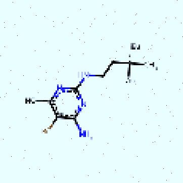 CC[C@@H](C)C(C)(CCNc1nc(N)c(Br)c(C#N)n1)C(C)=O